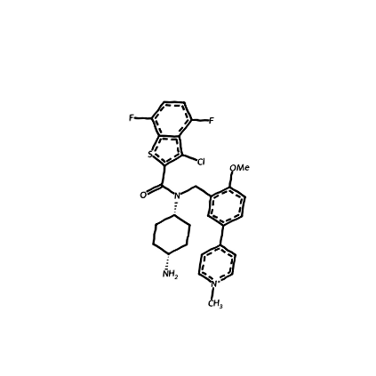 COc1ccc(-c2cc[n+](C)cc2)cc1CN(C(=O)c1sc2c(F)ccc(F)c2c1Cl)[C@H]1CC[C@@H](N)CC1